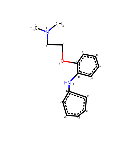 CN(C)CCOc1ccccc1Nc1cc[c]cc1